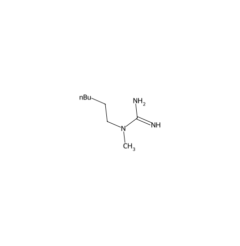 [CH2]CCCCCN(C)C(=N)N